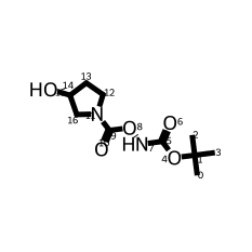 CC(C)(C)OC(=O)NOC(=O)N1CCC(O)C1